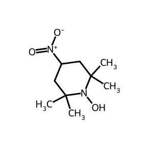 CC1(C)CC([N+](=O)[O-])CC(C)(C)N1O